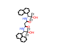 CCC(O)(CC)[C@H](NC(=O)CC(=O)N[C@H](c1cccc2ccccc12)C(O)(CC)CC)c1cccc2ccccc12